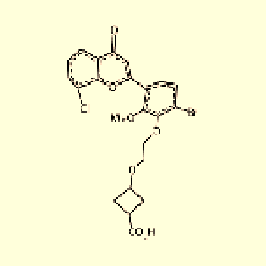 COc1c(-c2cc(=O)c3cccc(Cl)c3o2)ccc(Br)c1OCCOC1CC(C(=O)O)C1